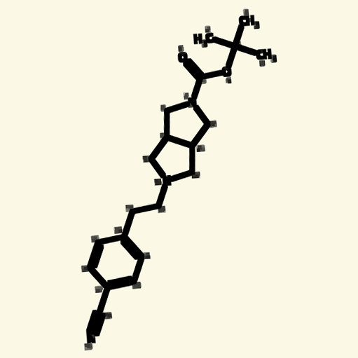 CC(C)(C)OC(=O)N1CC2CN(CCc3ccc(C#N)cc3)CC2C1